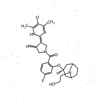 CC1=N/C(=C2\CN(C(=O)c3ccc(F)cc3O[C@@H]3CC4CCC(C3)N(CCO)C4)CC2=N)NC(C)=C1Cl